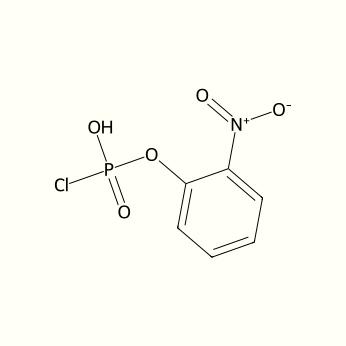 O=[N+]([O-])c1ccccc1OP(=O)(O)Cl